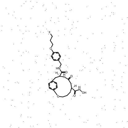 O=C1C[C@@H](C(=O)NO)CCCOc2ccc(cc2)C[C@@H](C(=O)NCc2ccc(OCCCF)cc2)N1